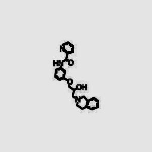 O=C(Nc1cccc(OCC(O)CN2CCc3ccccc3C2)c1)c1ccccn1